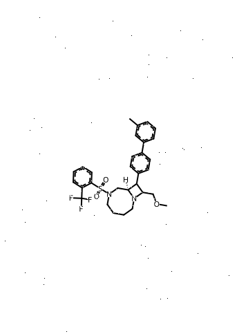 COCC1C(c2ccc(-c3cccc(C)c3)cc2)[C@@H]2CN(S(=O)(=O)c3ccccc3C(F)(F)F)CCCCN12